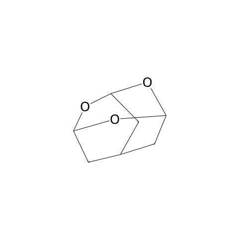 C1C2CC3OC1OC(C2)O3